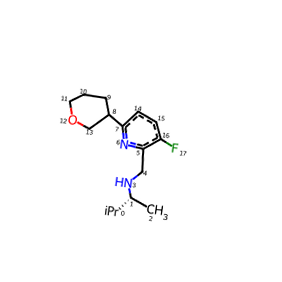 CC(C)[C@@H](C)NCc1nc(C2CCCOC2)ccc1F